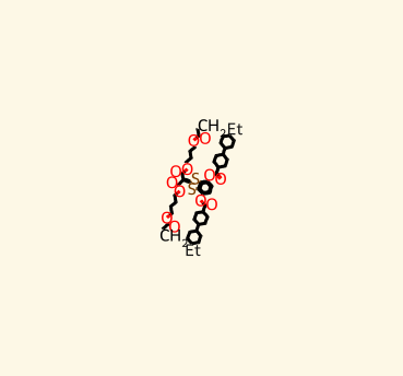 C=CC(=O)OCCCCOC(=O)C(C(=O)OCCCCOC(=O)C=C)=C1Sc2c(OC(=O)C3CCC(C4CCC(CC)CC4)CC3)ccc(OC(=O)C3CCC(C4CCC(CC)CC4)CC3)c2S1